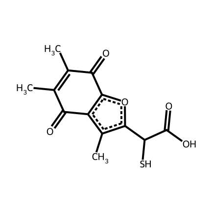 CC1=C(C)C(=O)c2c(oc(C(S)C(=O)O)c2C)C1=O